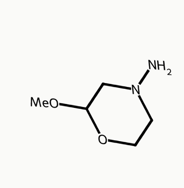 COC1CN(N)CCO1